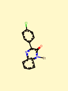 CCn1c(=O)c(-c2ccc(Cl)cc2)nc2ccccc21